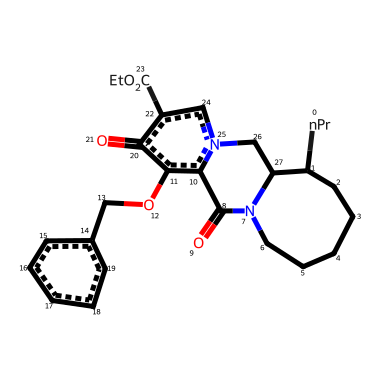 CCCC1CCCCCN2C(=O)c3c(OCc4ccccc4)c(=O)c(C(=O)OCC)cn3CC12